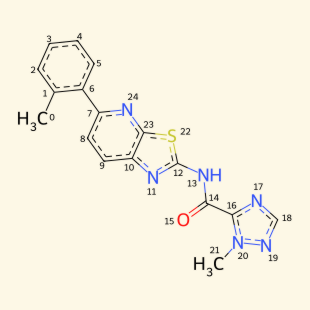 Cc1ccccc1-c1ccc2nc(NC(=O)c3ncnn3C)sc2n1